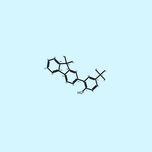 CC(C)(C)c1ccc(O)c(-c2ccc3c(c2)C(C)(C)c2ccccc2-3)c1